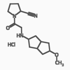 COC1CC2CC(NCC(=O)N3CCCC3C#N)CC2C1.Cl